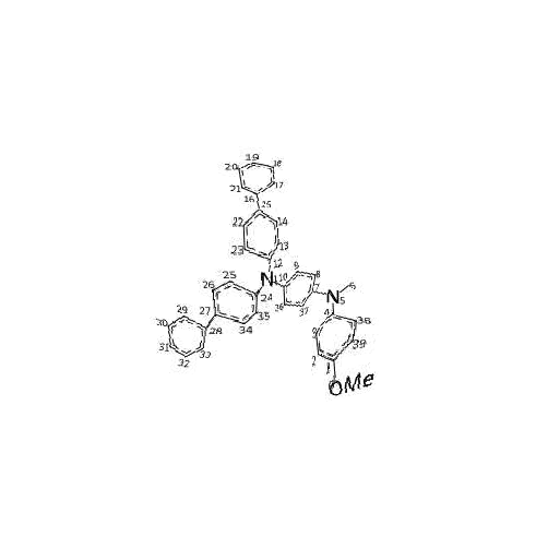 COc1ccc(N(C)c2ccc(N(c3ccc(-c4ccccc4)cc3)c3ccc(-c4ccccc4)cc3)cc2)cc1